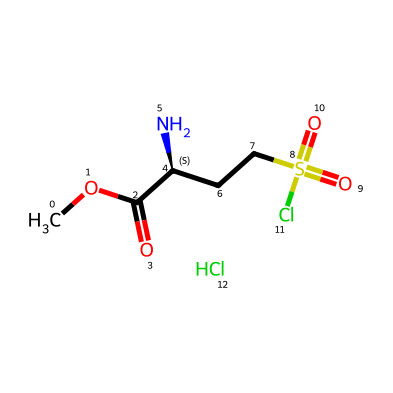 COC(=O)[C@@H](N)CCS(=O)(=O)Cl.Cl